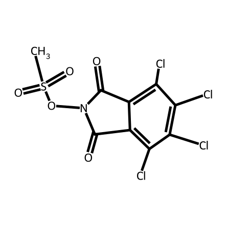 CS(=O)(=O)ON1C(=O)c2c(Cl)c(Cl)c(Cl)c(Cl)c2C1=O